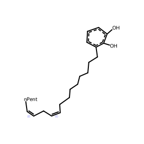 CCCCC/C=C\C/C=C\CCCCCCCCc1cccc(O)c1O